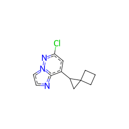 Clc1cc(C2CC23CCC3)c2nccn2n1